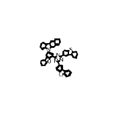 c1ccc2cc3c(cc2c1)c1ccccc1n3-c1cc(-c2nc(-c3ccc4oc5ccccc5c4c3)nc(-c3ccc4sc5ccccc5c4c3)n2)c2oc3ccccc3c2c1